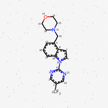 FC(F)(F)c1cnc(-n2ccc3c(CN4CCOCC4)cccc32)nc1